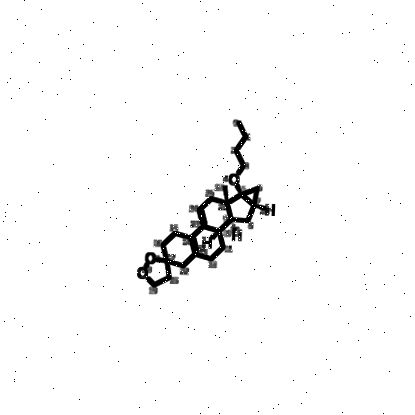 CCCCO[C@@]12C[C@@H]1C[C@H]1[C@@H]3CCC4=C(CCC5(CCOO5)C4)C3=CC[C@@]12C